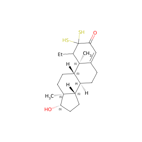 CCC1C(S)(S)C(=O)C=C2CC[C@H]3[C@@H]4CC[C@H](O)[C@@]4(C)CC[C@@H]3[C@]21C